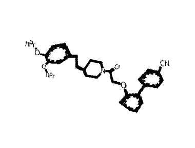 CCCOc1ccc(CCC2CCN(C(=O)COc3ccccc3-c3ccc(C#N)cc3)CC2)cc1OCCC